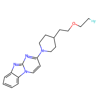 [18F]CCOCCC1CCN(c2ccn3c(n2)nc2ccccc23)CC1